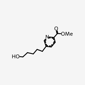 COC(=O)c1ccc(CCCCCO)cn1